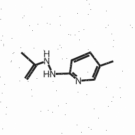 C=C(C)NNc1ccc(C)cn1